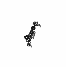 CCOC(=O)C[C@H](NC(=O)N[C@H]1CCN(c2ccc(C(N)=NO)cc2)C1=O)c1ccccc1